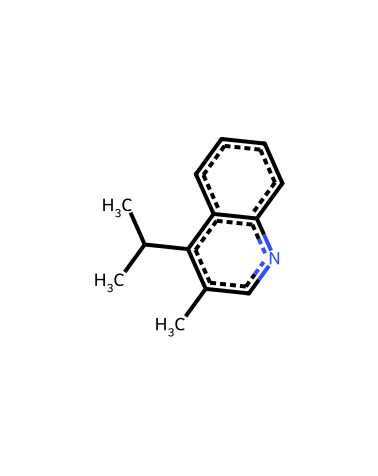 Cc1cnc2ccccc2c1C(C)C